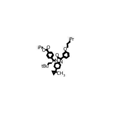 CC(C)CCCOc1cccc(C2=NC3(CCC(C4(C)CC4)CC3)N([C@H](CCC(C)(C)C)c3ccc(C(=O)OC(C)C)cc3)C2=O)c1